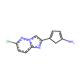 NC1=CC=C(c2cn3nc(Cl)ccc3n2)C1